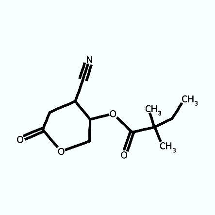 CCC(C)(C)C(=O)OC1COC(=O)CC1C#N